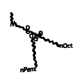 C=CC/C=C/N(C)CCCCCCC(=O)OCC(COC(=O)CCCCCCC/C=C/CCCCCCCC)OC(=O)CCCCCCC/C=C/C/C=C/CCCCC